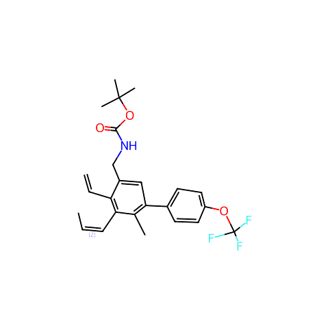 C=Cc1c(CNC(=O)OC(C)(C)C)cc(-c2ccc(OC(F)(F)F)cc2)c(C)c1/C=C\C